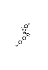 CC(OC(=O)Nc1cc(F)sc1-c1ccc(-c2ccc(C3CC3)cc2)cc1)c1ccc(F)cc1